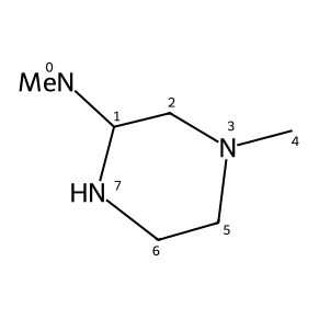 CNC1CN(C)CCN1